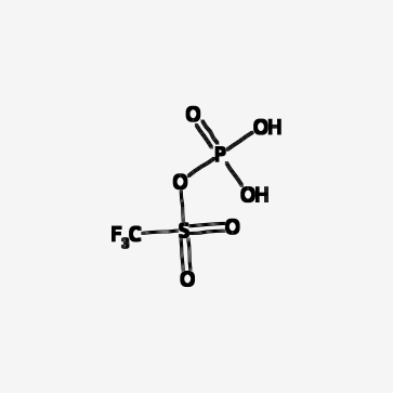 O=P(O)(O)OS(=O)(=O)C(F)(F)F